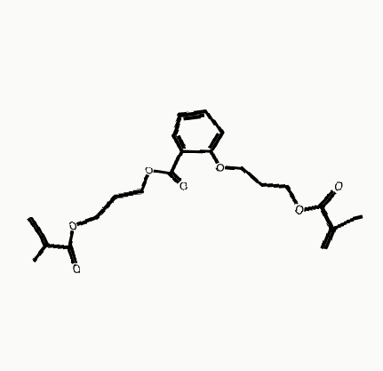 C=C(C)C(=O)OCCCOC(=O)c1ccccc1OCCCOC(=O)C(=C)C